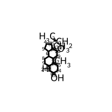 C=C(C)[C@H]1CCC2C3CC[C@H]4C[C@H](O)CC[C@]4(C)C3CC(=O)[C@@]21C